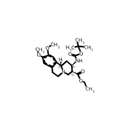 CCOC(=O)[C@H]1CN2CCc3cc(OC)c(OC)cc3[C@@H]2C[C@H]1NC(=O)OC(C)(C)C